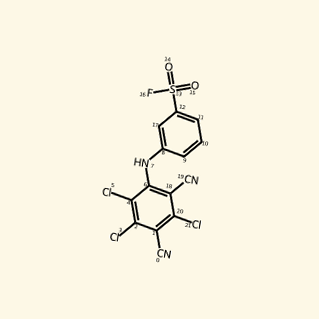 N#Cc1c(Cl)c(Cl)c(Nc2cccc(S(=O)(=O)F)c2)c(C#N)c1Cl